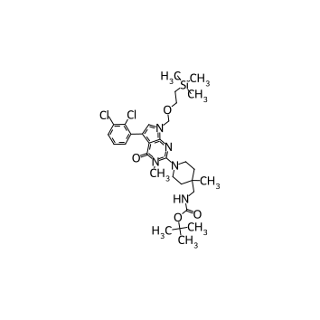 Cn1c(N2CCC(C)(CNC(=O)OC(C)(C)C)CC2)nc2c(c(-c3cccc(Cl)c3Cl)cn2COCC[Si](C)(C)C)c1=O